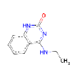 CCNc1nc(=O)[nH]c2ccccc12